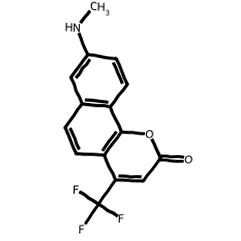 CNc1ccc2c(ccc3c(C(F)(F)F)cc(=O)oc32)c1